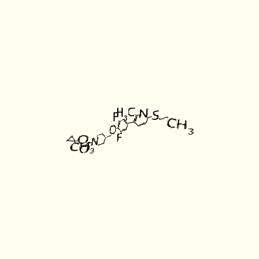 CCCSc1ccc(-c2cc(F)c(OCC3CCN(C(=O)OC4(C)CC4)CC3)c(F)c2)c(C)n1